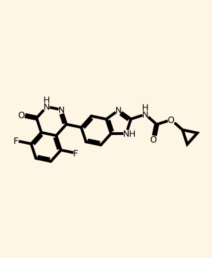 O=C(Nc1nc2cc(-c3n[nH]c(=O)c4c(F)ccc(F)c34)ccc2[nH]1)OC1CC1